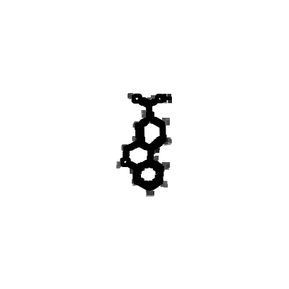 O=C(O)N1C=C2COc3ccccc3C2=CC1